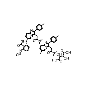 Cc1ccc(-c2nc3ccc(C)cn3c2CC(=O)N(C)C)cc1.Cc1ccc(-c2nc3ccc(C)cn3c2CC(=O)N(C)C)cc1.NC(=O)c1ccccc1N=S=O.O=C(O)C(O)C(O)C(=O)O